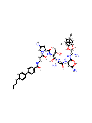 CCCCc1ccc(-c2ccc(C(=O)NCCC(=O)N3C[C@@H](N)C[C@H]3C(=O)N[C@H](C(=O)N[C@@H](N)C(=O)NC(CC(N)=O)C(=O)N[C@@H](N)B3OC4C[C@@H]5C[C@H](C4O3)C5(C)C)C(C)O)cc2)cc1